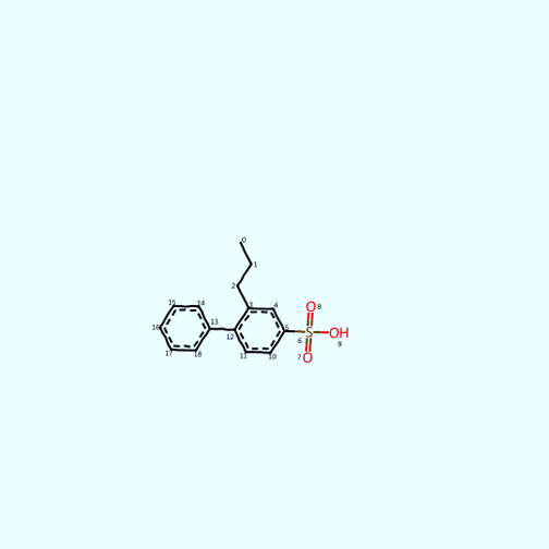 CCCc1cc(S(=O)(=O)O)ccc1-c1ccccc1